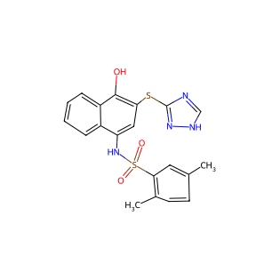 Cc1ccc(C)c(S(=O)(=O)Nc2cc(Sc3nc[nH]n3)c(O)c3ccccc23)c1